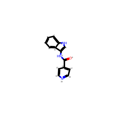 O=C(Nc1c[nH]c2ccccc12)c1ccncc1